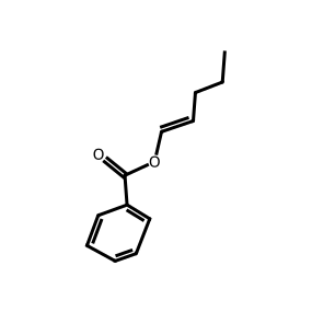 CCC/C=C/OC(=O)c1ccccc1